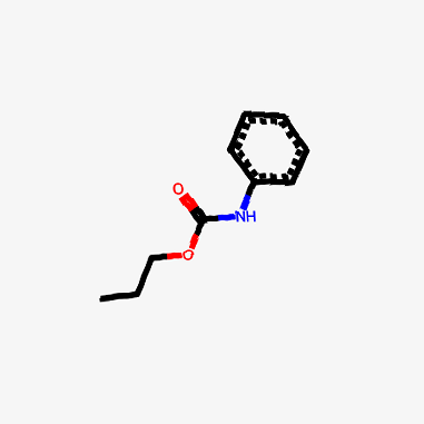 CCCOC(=O)Nc1cc[c]cc1